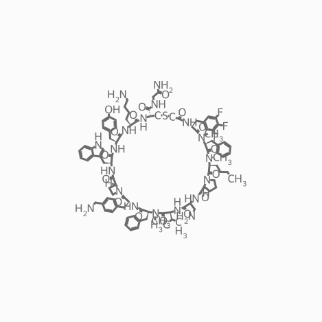 CCCC[C@H]1C(=O)N2CCC[C@@H]2C(=O)NC(CN)C(=O)N[C@@H](C(C)C)C(=O)N(C)[C@@H](Cc2ccccc2)C(=O)N[C@@H](Cc2ccc(CN)cc2)C(=O)N2CC[C@@H]2C(=O)N[C@@H](Cc2c[nH]c3ccccc23)C(=O)N[C@@H](Cc2ccc(O)cc2)C(=O)N[C@@H](CCCCN)C(=O)N[C@H](C(=O)NCC(N)=O)CSCC(=O)N[C@@H](Cc2cc(F)c(F)c(F)c2)C(=O)N(C)[C@@H](Cc2ccccc2)C(=O)N1C